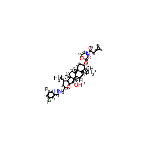 CC1CC(CNCc2cc(F)cc(F)c2)OC2C1C1(C)CCC34CC35CCC(O[C@H]3CN(C(=O)CC6CC6)CCO3)C(C)(C)[C@@H]5CCC4[C@]1(C)[C@H]2O